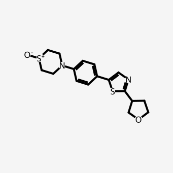 [O-][S+]1CCN(c2ccc(-c3cnc(C4CCOC4)s3)cc2)CC1